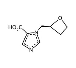 O=C(O)c1cncn1C[C@@H]1CCO1